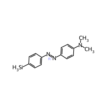 CN(C)c1ccc(/N=N/c2ccc([SiH3])cc2)cc1